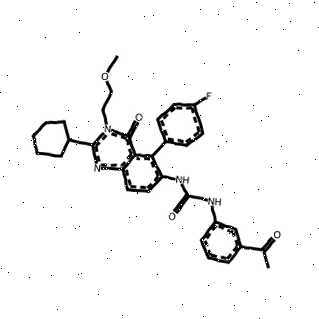 COCCn1c(C2CCCCC2)nc2ccc(NC(=O)Nc3cccc(C(C)=O)c3)c(-c3ccc(F)cc3)c2c1=O